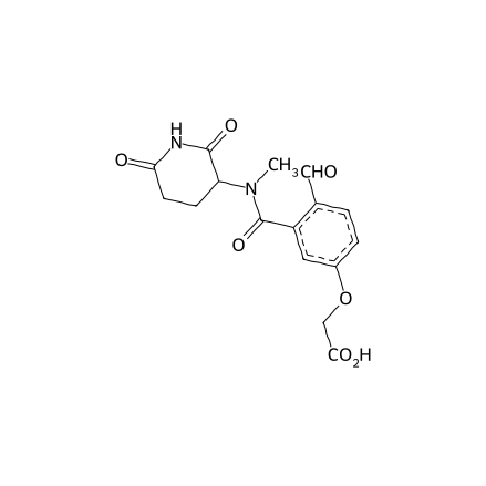 CN(C(=O)c1cc(OCC(=O)O)ccc1C=O)C1CCC(=O)NC1=O